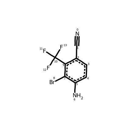 N#Cc1ccc(N)c(Br)c1C(F)(F)F